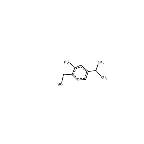 Cc1cc(C(C)C)ccc1CO